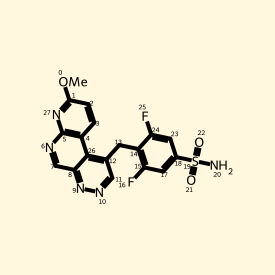 COc1ccc2c(ncc3nncc(Cc4c(F)cc(S(N)(=O)=O)cc4F)c32)n1